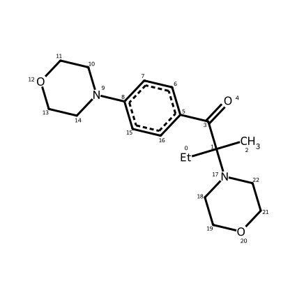 CCC(C)(C(=O)c1ccc(N2CCOCC2)cc1)N1CCOCC1